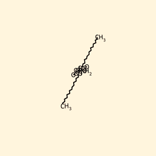 CCCCCCCCCCCCCCCC(OP(N)(=O)OC(CCCCCCCCCCCCCCC)[SH](=O)=O)[SH](=O)=O